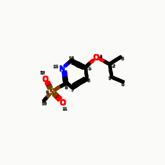 CCC(C)Oc1ccc(S(C)(=O)=O)nc1